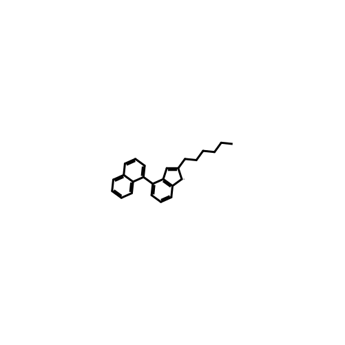 CCCCCCC1=Cc2c(cccc2-c2cccc3ccccc23)[CH]1